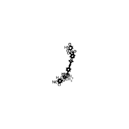 CC1(C)[C@H](NC(=O)c2ccc(C#CC3CN(c4ccc5c(c4)C(=O)N(C4CCC(=O)NC4=O)C5=O)C3)cc2)C(C)(C)[C@H]1Oc1ccc(C#N)c(Cl)c1